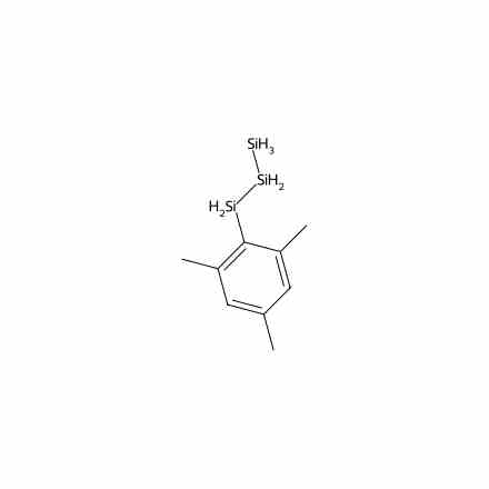 Cc1cc(C)c([SiH2][SiH2][SiH3])c(C)c1